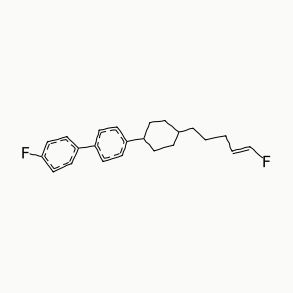 F/C=C/CCCC1CCC(c2ccc(-c3ccc(F)cc3)cc2)CC1